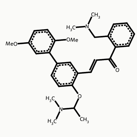 COc1ccc(OC)c(-c2ccc(OC(C)N(C)C)c(C=CC(=O)c3ccccc3CN(C)C)c2)c1